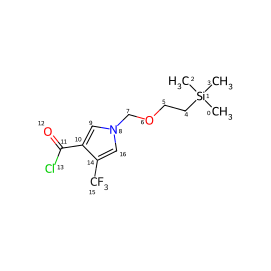 C[Si](C)(C)CCOCn1cc(C(=O)Cl)c(C(F)(F)F)c1